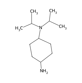 CC(C)N(C(C)C)C1CCC(N)CC1